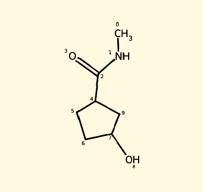 CNC(=O)C1CCC(O)C1